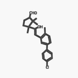 Cc1ccc(-c2ccc(Cl)cc2)cc1/C=C(\O)C1(C)CCC(C=O)C1(C)C